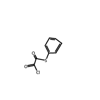 O=C(Cl)C(=O)Sc1ccccc1